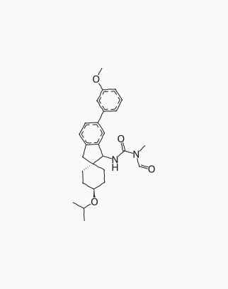 COc1cccc(-c2ccc3c(c2)C(NC(=O)N(C)C=O)[C@]2(CC[C@H](OC(C)C)CC2)C3)c1